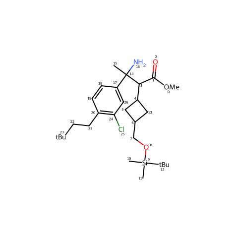 COC(=O)C(C1CC(CO[Si](C)(C)C(C)(C)C)C1)C(C)(N)c1ccc(CCC(C)(C)C)c(Cl)c1